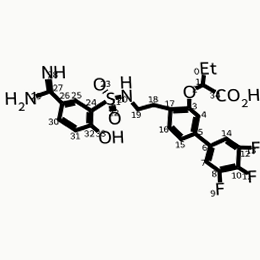 CCC(Oc1cc(-c2cc(F)c(F)c(F)c2)ccc1CCNS(=O)(=O)c1cc(C(=N)N)ccc1O)C(=O)O